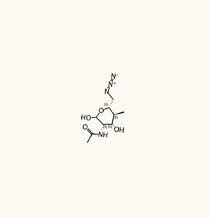 CC(=O)N[C@@H]1C(O)O[C@H](CN=[N+]=[N-])[C@@H](C)[C@@H]1O